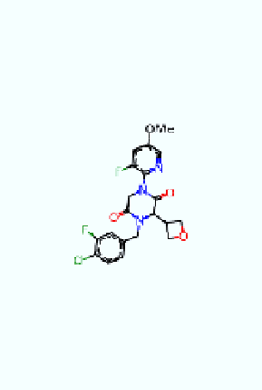 COc1cnc(N2CC(=O)N(Cc3ccc(Cl)c(F)c3)[C@H](C3COC3)C2=O)c(F)c1